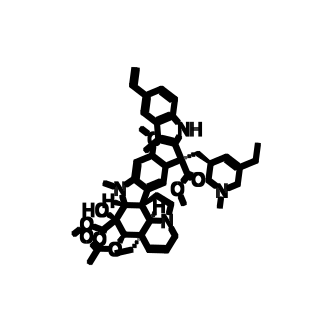 C=Cc1ccc2[nH]c([C@@](C[C@H]3C=C(CC)CN(C)C3)(C(=O)OC)C3C=C4C(=CC3OC)N(C)[C@H]3[C@@](O)(C(=O)OC)[C@H](OC(C)=O)[C@]5(CC)C=CCN6CC[C@]43[C@@H]65)c(C)c2c1